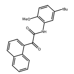 COc1ccc(C(C)(C)C)cc1NC(=O)C(=O)c1cccc2ccccc12